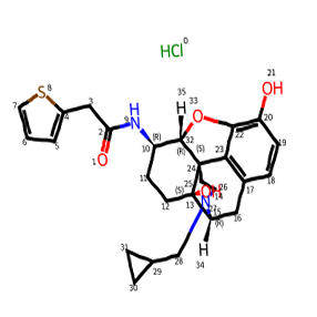 Cl.O=C(Cc1cccs1)N[C@@H]1CC[C@@]2(O)[C@H]3Cc4ccc(O)c5c4[C@@]2(CCN3CC2CC2)[C@H]1O5